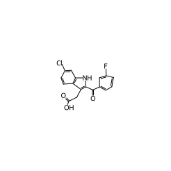 O=C(O)Cc1c(C(=O)c2cccc(F)c2)[nH]c2cc(Cl)ccc12